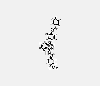 COc1ccc(CNc2nnc(-c3ccc(OCc4ccccc4)cc3)c3ccccc23)cc1